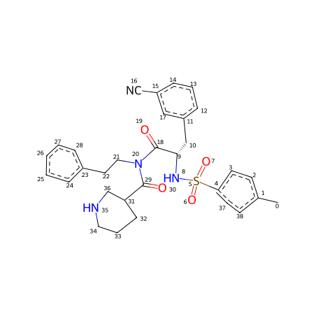 Cc1ccc(S(=O)(=O)N[C@@H](Cc2cccc(C#N)c2)C(=O)N(CCc2ccccc2)C(=O)C2CCCNC2)cc1